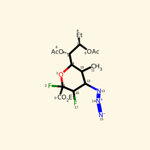 CCOC(=O)C1(F)OC([C@H](OC(C)=O)[C@@H](CC)OC(C)=O)C(C)C(N=[N+]=[N-])C1F